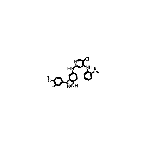 COc1ccc(-c2n[nH]c3ccc(Nc4cc(Nc5ccccc5P(C)C)c(Cl)cn4)cc23)cc1F